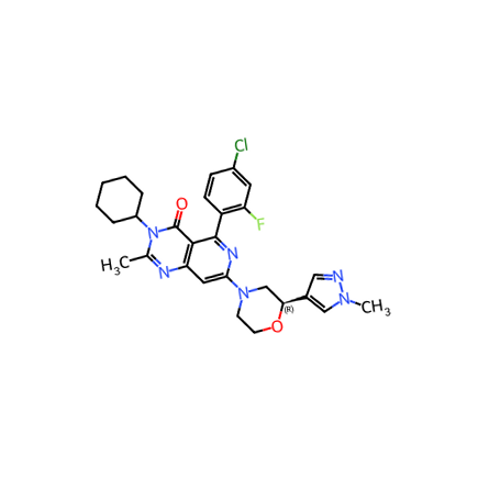 Cc1nc2cc(N3CCO[C@H](c4cnn(C)c4)C3)nc(-c3ccc(Cl)cc3F)c2c(=O)n1C1CCCCC1